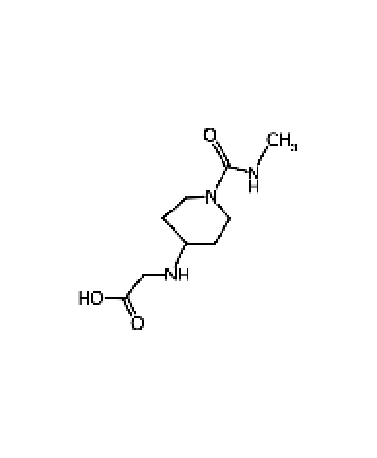 CNC(=O)N1CCC(NCC(=O)O)CC1